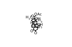 CC(=O)OCC(=O)[C@@]1(O)[C@@H](C)C[C@H]2[C@@H]3CCC4C(=O)C(=O)CC(=O)[C@]4(C)[C@@]3(F)[C@@H](O)C[C@@]21C